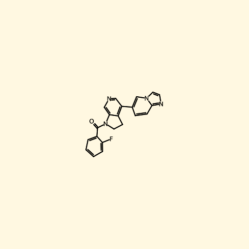 O=C(c1ccccc1F)N1CCc2c(-c3ccc4nccn4c3)cncc21